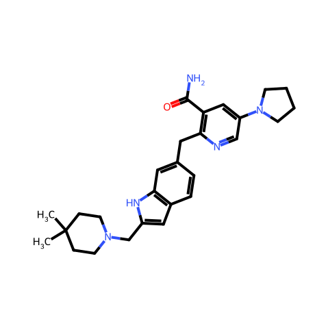 CC1(C)CCN(Cc2cc3ccc(Cc4ncc(N5CCCC5)cc4C(N)=O)cc3[nH]2)CC1